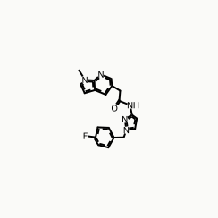 Cn1ccc2cc(CC(=O)Nc3ccn(Cc4ccc(F)cc4)n3)cnc21